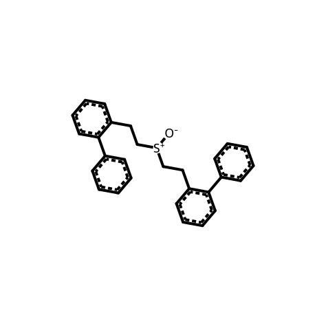 [O-][S+](CCc1ccccc1-c1ccccc1)CCc1ccccc1-c1ccccc1